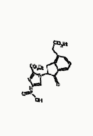 CCOC(=O)Cc1cccc2c1CC(n1cc([PH](=O)O)nc1C(=O)OCC)C2=O